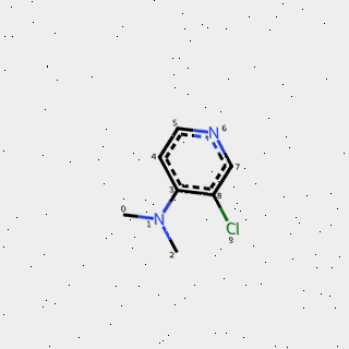 CN(C)c1ccncc1Cl